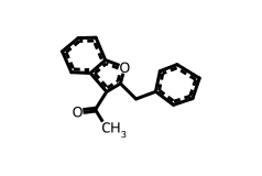 CC(=O)c1c(Cc2ccccc2)oc2ccccc12